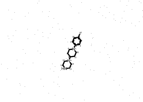 Ic1ccc(N2CCC(N3CCNCC3)CC2)cc1